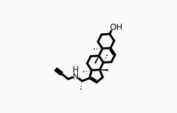 C#CCN[C@@H](C)C1=CC[C@@]2(C)[C@]3(C)CC=C4CC(O)CC[C@]4(C)[C@@]3(C)CC[C@]12C